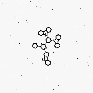 c1ccc(-c2cc(-c3ccc4c(c3)oc3ccccc34)nc(-c3cc(-n4c5ccccc5c5ccccc54)cc(-n4c5ccccc5c5ccccc54)c3)n2)cc1